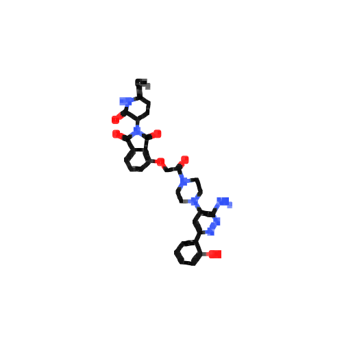 C=C1CCC(N2C(=O)c3cccc(OCC(=O)N4CCN(c5cc(-c6ccccc6O)nnc5N)CC4)c3C2=O)C(=O)N1